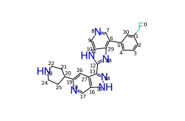 Fc1cccc(-c2cncc3[nH]c(-c4n[nH]c5cnc(C6CCNCC6)cc45)nc23)c1